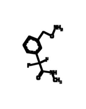 CNC(=O)C(F)(F)c1cccc(CON)c1